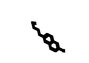 OCCCc1ccc2cc(Cl)ccc2c1